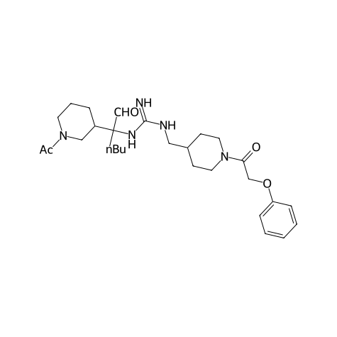 CCCCC(C=O)(NC(=N)NCC1CCN(C(=O)COc2ccccc2)CC1)C1CCCN(C(C)=O)C1